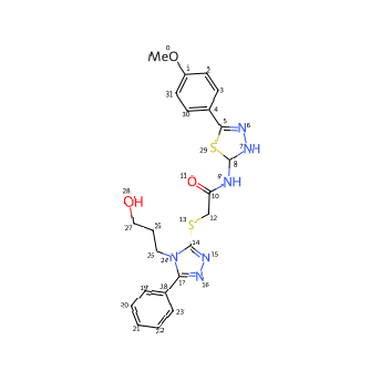 COc1ccc(C2=NNC(NC(=O)CSc3nnc(-c4ccccc4)n3CCCO)S2)cc1